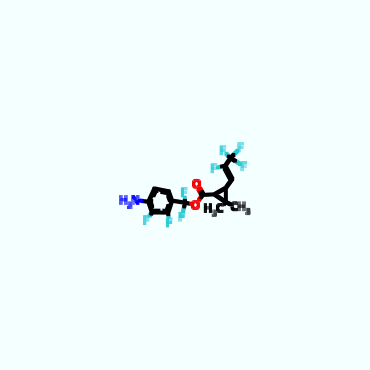 CC1(C)C(C=C(F)C(F)(F)F)C1C(=O)OC(F)(F)c1ccc(N)c(F)c1F